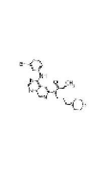 C=CC(=O)N(CCCN1CCOCC1)c1cc2c(Nc3cccc(Br)c3)ncnc2cn1